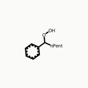 CCCCCC(OO)c1ccccc1